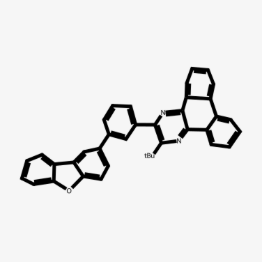 CC(C)(C)c1nc2c3ccccc3c3ccccc3c2nc1-c1cccc(-c2ccc3oc4ccccc4c3c2)c1